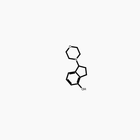 Oc1cccc2c1CCC2N1CCOCC1